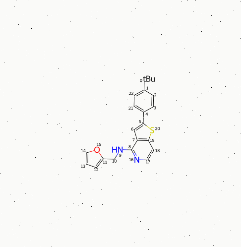 CC(C)(C)c1ccc(-c2cc3c(NCc4ccco4)nccc3s2)cc1